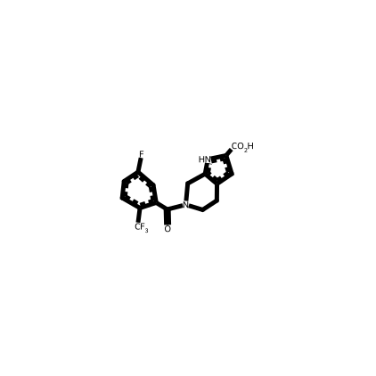 O=C(O)c1cc2c([nH]1)CN(C(=O)c1cc(F)ccc1C(F)(F)F)CC2